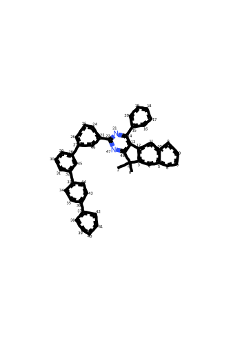 CC1(C)c2cc3ccccc3cc2-c2c(-c3ccccc3)nc(-c3cccc(-c4cccc(-c5ccc(-c6ccccc6)cc5)c4)c3)nc21